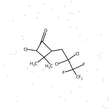 CC1(C)C(Cl)C(=O)C1CC(Cl)(Cl)C(F)(F)C(F)(F)F